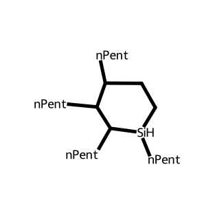 CCCCCC1CC[SiH](CCCCC)C(CCCCC)C1CCCCC